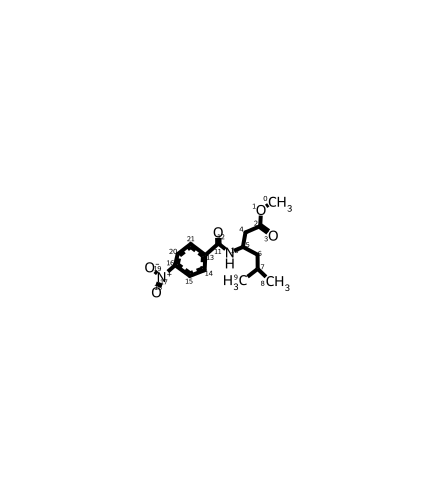 COC(=O)CC(CC(C)C)NC(=O)c1ccc([N+](=O)[O-])cc1